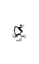 O=S(O)c1cccc(Cl)c1.[LiH]